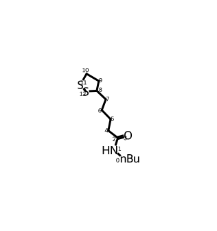 CCCCNC(=O)CCCCC1CCSS1